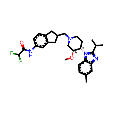 CO[C@H]1CN(CC2Cc3ccc(NC(=O)C(F)F)cc3C2)CC[C@@H]1n1c(C(C)C)nc2cc(C)ccc21